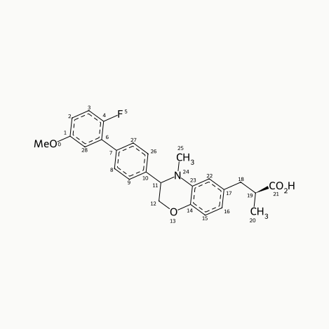 COc1ccc(F)c(-c2ccc(C3COc4ccc(C[C@H](C)C(=O)O)cc4N3C)cc2)c1